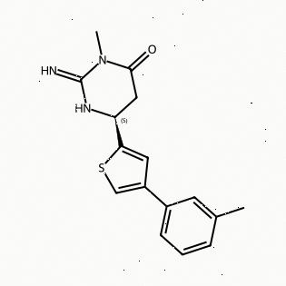 Cc1cccc(-c2csc([C@@H]3CC(=O)N(C)C(=N)N3)c2)c1